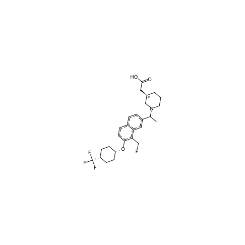 CC(c1ccc2ccc(O[C@H]3CC[C@@H](C(F)(F)F)CC3)c(CF)c2c1)N1CCC[C@H](CC(=O)O)C1